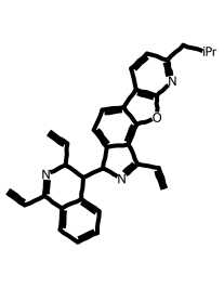 C=CC1=NC(C=C)C(C2N=C(C=C)c3c2ccc2c3oc3nc(CC(C)C)ccc32)c2ccccc21